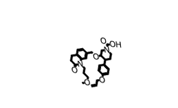 C=CCOc1ccc(C2CCN(C(=O)O)CC2OCc2ccc3c(c2)N(CCCOC)C(=O)CC3)cc1